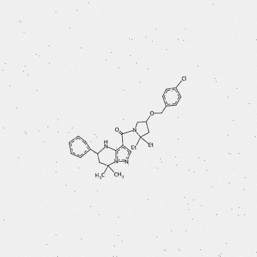 CCC1(CC)CC(OCc2ccc(Cl)cc2)CN1C(=O)c1cnn2c1NC(c1ccccc1)CC2(C)C